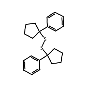 c1ccc(C2(SSC3(c4ccccc4)CCCC3)CCCC2)cc1